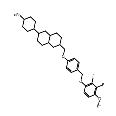 CCCC1CCC(C2CCC3CC(COc4ccc(COc5ccc(OCC)c(F)c5F)cc4)CCC3C2)CC1